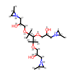 CC1CN1CC(O)COC(C(C)(C)OCC(O)CN1CC1C)C(C)(C)OCC(O)CN1CC1C